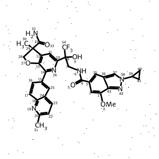 COc1cc(C(=O)NCC(O)(c2cc3c(c(-c4ccc5nc(C)ccc5c4)n2)OC[C@]3(C)C(N)=O)C(F)(F)F)cc2cn(C3CC3)nc12